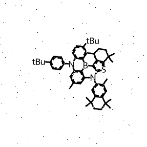 Cc1cc2c3c(c1)N(c1cc4c(cc1C)C(C)(C)CCC4(C)C)c1sc4c5c1B3c1c(ccc(C(C)(C)C)c1C5(C)CCC4(C)C)N2c1ccc(C(C)(C)C)cc1